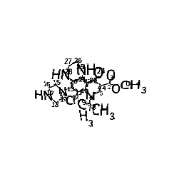 COC(=O)c1cn(C(C)C)c2c(Cl)c(N3CCNCC3)c3c(c2c1=O)NCCN3